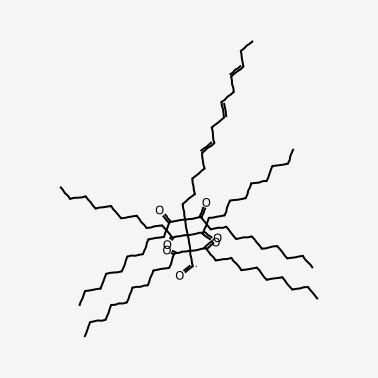 CC/C=C/C/C=C/C/C=C/CCCCC(C(=O)CCCCCCCCC)(C(=O)CCCCCCCCC)C(C(=O)CCCCCCCCC)(C(=O)CCCCCCCCC)C([C]=O)(C(=O)CCCCCCCCC)C(=O)CCCCCCCCC